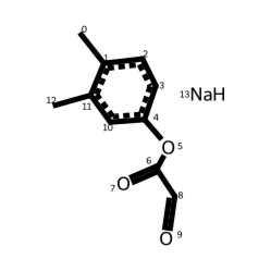 Cc1ccc(OC(=O)C=O)cc1C.[NaH]